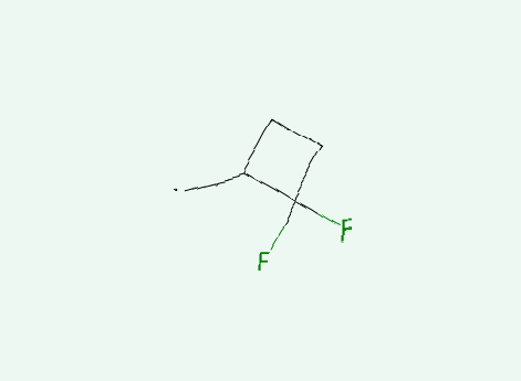 [CH2]C1CCC1(F)F